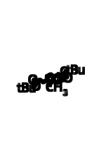 Cc1c(CCC(=O)OC(C)(C)C)ccc2c1CCN(C(=O)OC(C)(C)C)C2